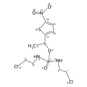 CC(OP(=O)(NCCCl)NCCCl)c1ccc([N+](=O)[O-])s1